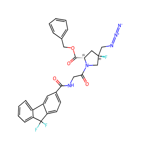 [N-]=[N+]=NC[C@@]1(F)C[C@@H](C(=O)OCc2ccccc2)N(C(=O)CNC(=O)c2ccc3c(c2)-c2ccccc2C3(F)F)C1